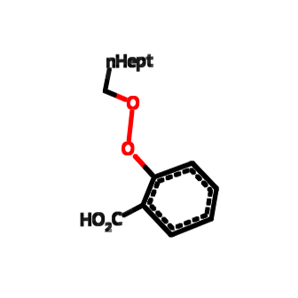 CCCCCCCCOOc1ccccc1C(=O)O